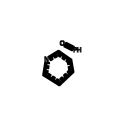 O=P.c1ccncc1